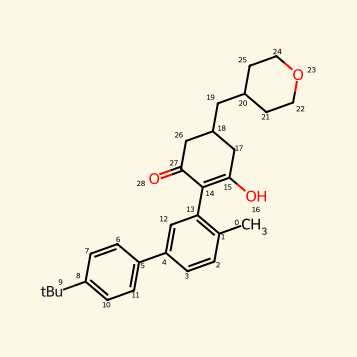 Cc1ccc(-c2ccc(C(C)(C)C)cc2)cc1C1=C(O)CC(CC2CCOCC2)CC1=O